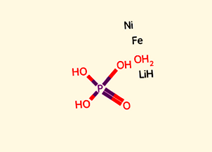 O.O=P(O)(O)O.[Fe].[LiH].[Ni]